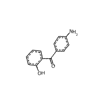 Nc1ccc(C(=O)c2ccccc2O)cc1